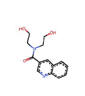 O=C(c1cnc2ccccc2c1)N(CCO)CCO